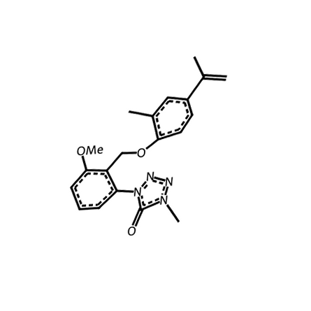 C=C(C)c1ccc(OCc2c(OC)cccc2-n2nnn(C)c2=O)c(C)c1